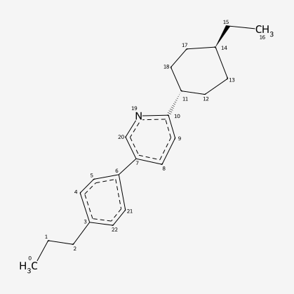 CCCc1ccc(-c2ccc([C@H]3CC[C@H](CC)CC3)nc2)cc1